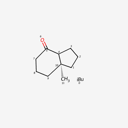 CC[C@H](C)C1CCC2C(=O)CCC[C@@]21C